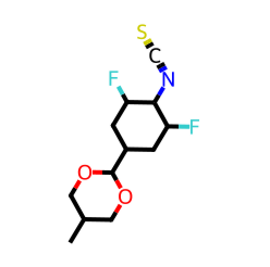 CC1COC(C2CC(F)C(N=C=S)C(F)C2)OC1